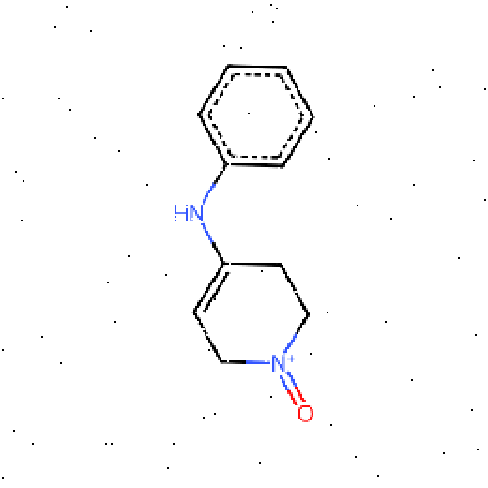 O=[N+]1CC=C(Nc2ccccc2)CC1